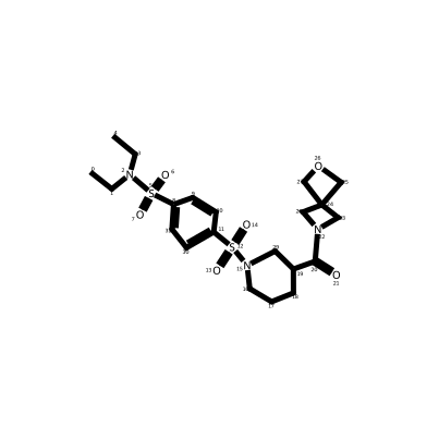 CCN(CC)S(=O)(=O)c1ccc(S(=O)(=O)N2CCCC(C(=O)N3CC4(COC4)C3)C2)cc1